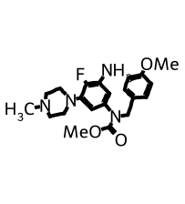 COC(=O)N(Cc1ccc(OC)cc1)c1cc(N)c(F)c(N2CCN(C)CC2)c1